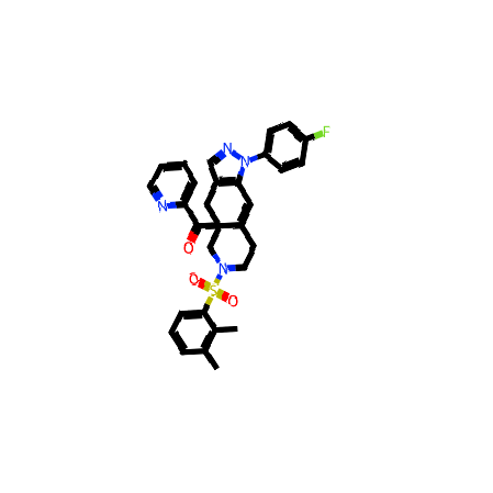 Cc1cccc(S(=O)(=O)N2CCC3=Cc4c(cnn4-c4ccc(F)cc4)CC3(C(=O)c3ccccn3)C2)c1C